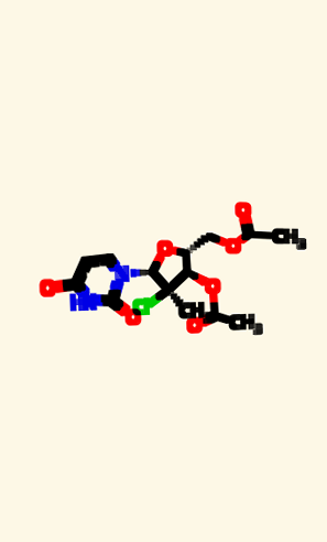 CC(=O)OC[C@H]1O[C@@H](n2ccc(=O)[nH]c2=O)[C@](C)(Cl)[C@@H]1OC(C)=O